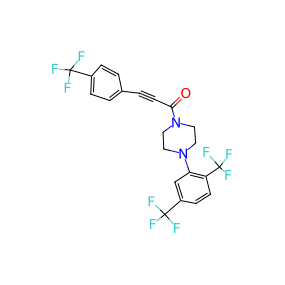 O=C(C#Cc1ccc(C(F)(F)F)cc1)N1CCN(c2cc(C(F)(F)F)ccc2C(F)(F)F)CC1